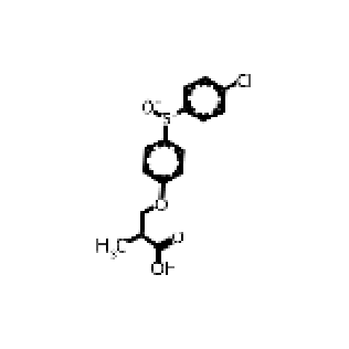 CC(COc1ccc([S+]([O-])c2ccc(Cl)cc2)cc1)C(=O)O